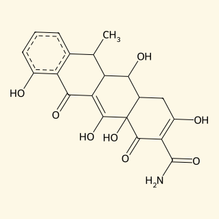 CC1c2cccc(O)c2C(=O)C2=C(O)C3(O)C(=O)C(C(N)=O)=C(O)CC3C(O)C21